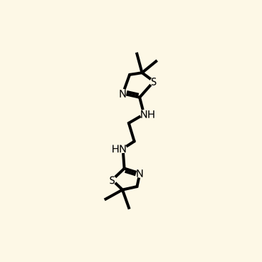 CC1(C)CN=C(NCCNC2=NCC(C)(C)S2)S1